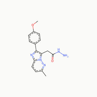 COc1ccc(-c2nc3ccc(C)nn3c2CC(=O)NN)cc1